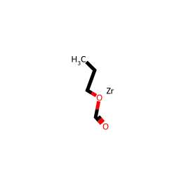 CCCOC=O.[Zr]